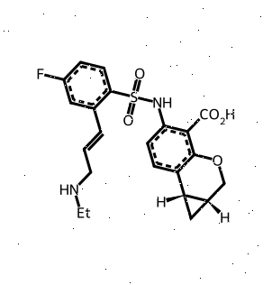 CCNCC=Cc1cc(F)ccc1S(=O)(=O)Nc1ccc2c(c1C(=O)O)OC[C@@H]1C[C@H]21